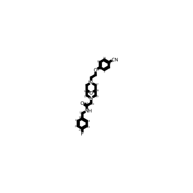 N#Cc1ccc(OCCN2CC3CN(CC(=O)NCc4ccc(F)cc4)CC(C2)O3)cc1